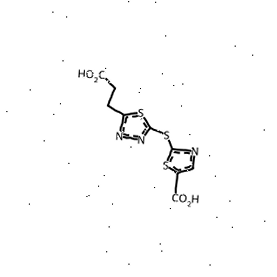 O=C(O)CCc1nnc(Sc2ncc(C(=O)O)s2)s1